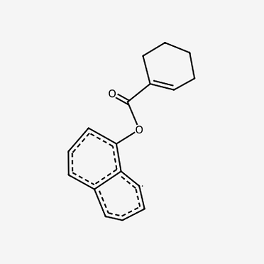 O=C(Oc1cccc2ccc[c]c12)C1=CCCCC1